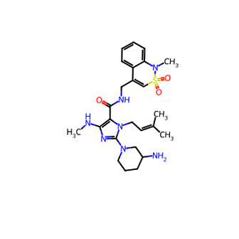 CNc1nc(N2CCCC(N)C2)n(CC=C(C)C)c1C(=O)NCC1=CS(=O)(=O)N(C)c2ccccc21